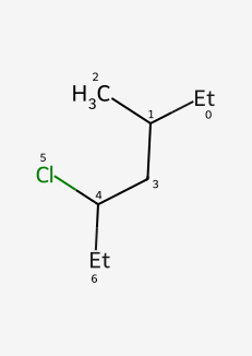 CCC(C)CC(Cl)CC